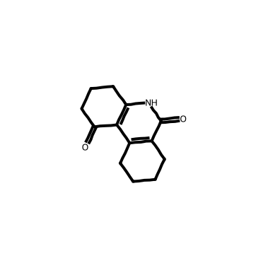 O=C1CCCc2[nH]c(=O)c3c(c21)CCCC3